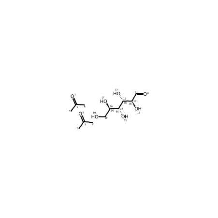 CC(C)=O.CC(C)=O.O=C[C@@H](O)[C@@H](O)[C@H](O)[C@H](O)CO